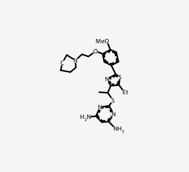 CCc1sc(-c2ccc(OC)c(OCCN3CCCCC3)c2)nc1C(C)Sc1nc(N)cc(N)n1